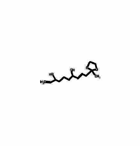 C=CC(O)CCCC(O)CCCC1(C)OCCO1